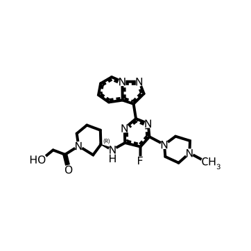 CN1CCN(c2nc(-c3cnn4ccccc34)nc(N[C@@H]3CCCN(C(=O)CO)C3)c2F)CC1